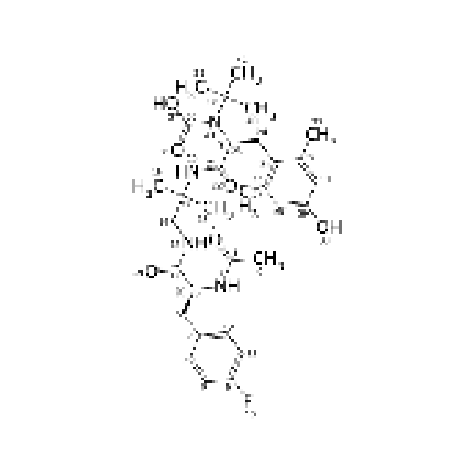 CC(=O)N[C@@H](Cc1ccc(F)cc1)C(=O)NCC(C)(C)NC(=O)[C@H](Cc1c(C)cc(O)cc1C)N(C(=O)O)C(C)(C)C